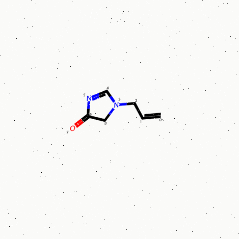 C=CCN1[C]=NC(=O)C1